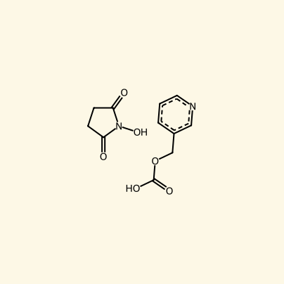 O=C(O)OCc1cccnc1.O=C1CCC(=O)N1O